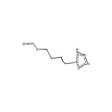 O=[C]OCCCCc1nnn[nH]1